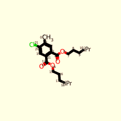 Cc1cc(C(=O)OCCCC(C)C)c(C(=O)OCCCC(C)C)cc1Cl